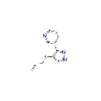 C=CCSc1c[nH]nc1-c1cccnc1